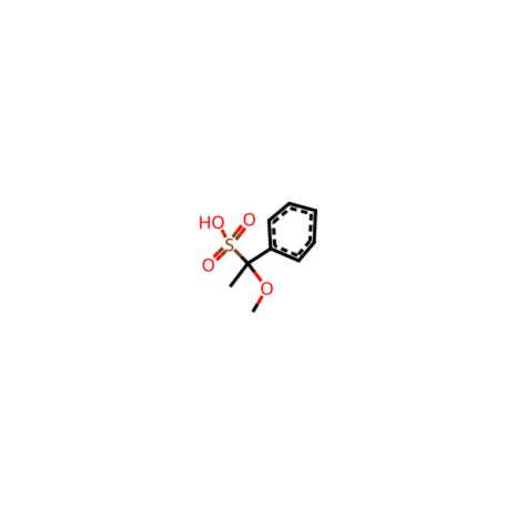 COC(C)(c1ccccc1)S(=O)(=O)O